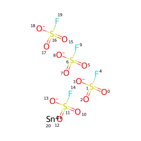 O=S(=O)([O-])F.O=S(=O)([O-])F.O=S(=O)([O-])F.O=S(=O)([O-])F.[Sn+4]